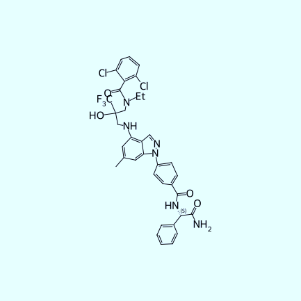 CCN(CC(O)(CNc1cc(C)cc2c1cnn2-c1ccc(C(=O)N[C@H](C(N)=O)c2ccccc2)cc1)C(F)(F)F)C(=O)c1c(Cl)cccc1Cl